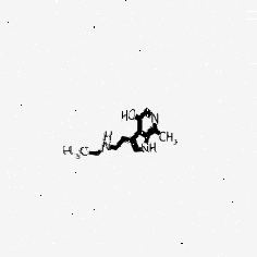 CCNCCc1c[nH]c2c(C)ncc(O)c12